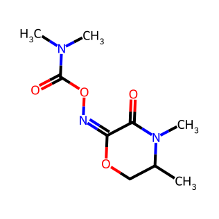 CC1COC(=NOC(=O)N(C)C)C(=O)N1C